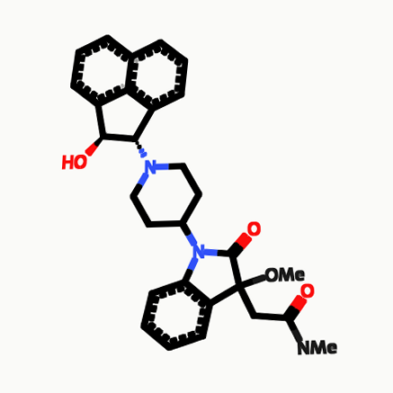 CNC(=O)CC1(OC)C(=O)N(C2CCN([C@H]3c4cccc5cccc(c45)[C@@H]3O)CC2)c2ccccc21